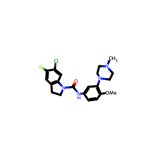 COc1ccc(NC(=O)N2CCc3cc(F)c(Cl)cc32)cc1N1CCN(C)CC1